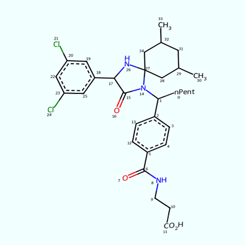 CCCCCC(c1ccc(C(=O)NCCC(=O)O)cc1)N1C(=O)C(c2cc(Cl)cc(Cl)c2)NC12CC(C)CC(C)C2